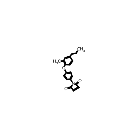 CCCc1ccc(Oc2ccc(N3C(=O)C=CC3=O)cc2)c(C)c1